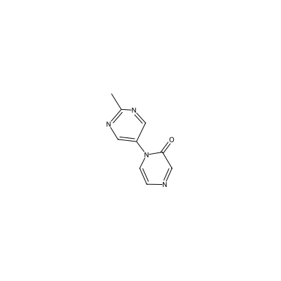 Cc1ncc(-n2ccncc2=O)cn1